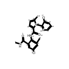 CNC(=O)c1cc(Cl)cc(C)c1NC(=O)c1ccc(I)n1-c1ncccc1Cl